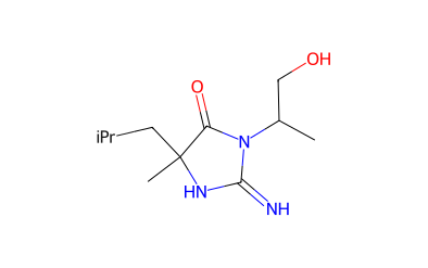 CC(C)CC1(C)NC(=N)N(C(C)CO)C1=O